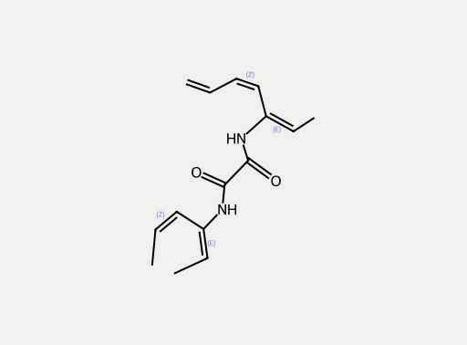 C=C/C=C\C(=C/C)NC(=O)C(=O)NC(/C=C\C)=C/C